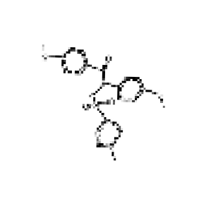 CSc1ccc(C(=O)C(OS(=O)(=O)c2ccc(C)cc2)c2ccc(SC)cc2)cc1